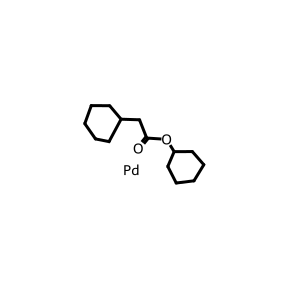 O=C(CC1CCCCC1)OC1CCCCC1.[Pd]